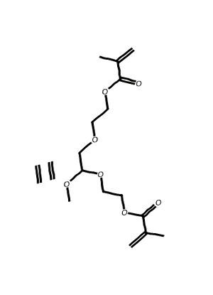 C=C.C=C.C=C(C)C(=O)OCCOCC(OC)OCCOC(=O)C(=C)C